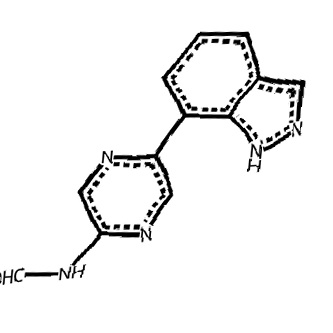 O=CNc1cnc(-c2cccc3cn[nH]c23)cn1